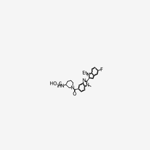 CCn1c(-c2nc3cc(C(=O)N4CCCC(NC(=O)O)C4)ccc3n2C)cc2cc(F)ccc21